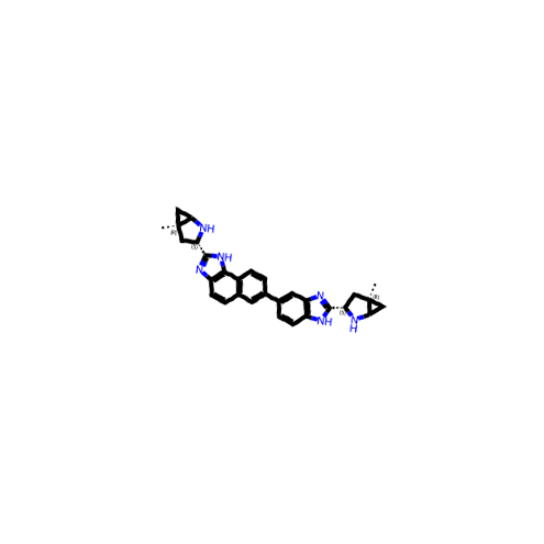 C[C@]12CC1N[C@H](c1nc3cc(-c4ccc5c(ccc6nc([C@@H]7C[C@@]8(C)CC8N7)[nH]c65)c4)ccc3[nH]1)C2